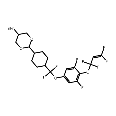 CCCC1COC(C2CCC(C(F)(F)Oc3cc(F)c(OC(F)(F)C=C(F)F)c(F)c3)CC2)OC1